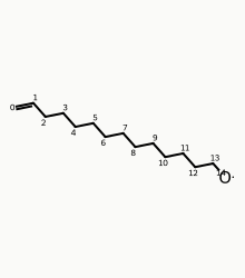 C=CCCCCCCCCCCCC[O]